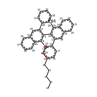 CCCCCCCOc1c(-c2c(-c3ccccc3)cc3ccccc3c2O)c(-c2ccccc2)cc2ccccc12